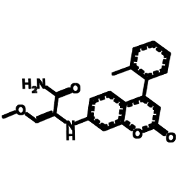 COC=C(Nc1ccc2c(-c3ccccc3C)cc(=O)oc2c1)C(N)=O